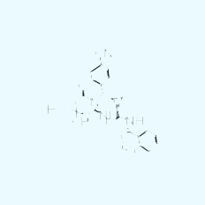 CC1(C)CC(=O)N(C(c2ccc(C#N)cc2)[C@@H]2C[C@H]2C(=O)N[C@H]2CCOc3ccccc32)C(=N)N1